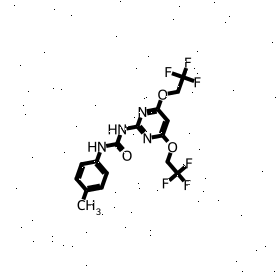 Cc1ccc(NC(=O)Nc2nc(OCC(F)(F)F)cc(OCC(F)(F)F)n2)cc1